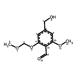 COCOc1cc(CO)cc(OC)c1C=O